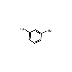 CCCCc1c[c]cc(C(F)(F)F)c1